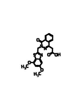 COc1cc(OC)c2sc(Cn3nc(CC(=O)O)c4ccccc4c3=O)nc2c1